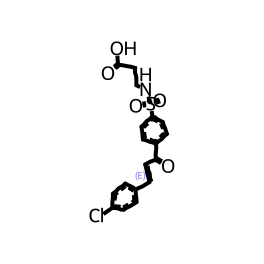 O=C(O)CCNS(=O)(=O)c1ccc(C(=O)/C=C/c2ccc(Cl)cc2)cc1